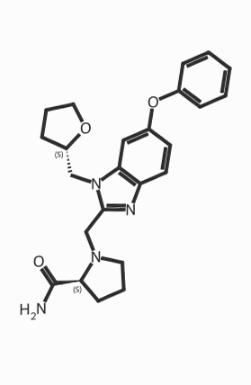 NC(=O)[C@@H]1CCCN1Cc1nc2ccc(Oc3ccccc3)cc2n1C[C@@H]1CCCO1